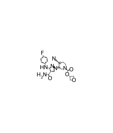 N#C[C@H]1CCN(C(=O)OC2COC2)C[C@@H]1n1cc(C(N)=O)c(Nc2ccc(F)cc2)n1